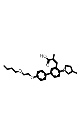 CCCCOCCOc1ccc(-c2ccc(N3CCC(C)C3)c(C=C(C)C(=O)O)c2)cc1